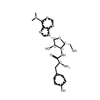 CN(C)c1ncnc2c1ncn2[C@@H]1O[C@H](CO)[C@@H](NC(=O)[C@@H](N)Cc2ccc(O)cc2)[C@H]1O